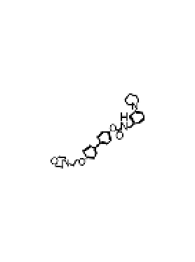 O=C(NCc1cccc(N2CCCCC2)c1)Oc1ccc(-c2ccc(OCCN3CCOCC3)cc2)cc1